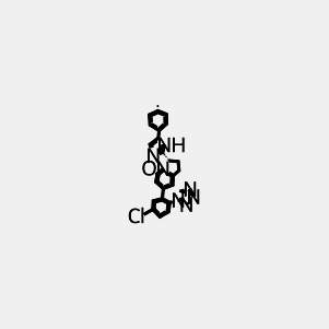 O=c1cc(-c2cc(Cl)ccc2-n2cnnn2)cc2n1[C@H](c1ncc(-c3cc[c]cc3)[nH]1)CC2